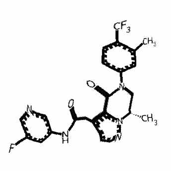 Cc1cc(N2C[C@H](C)n3ncc(C(=O)Nc4cncc(F)c4)c3C2=O)ccc1C(F)(F)F